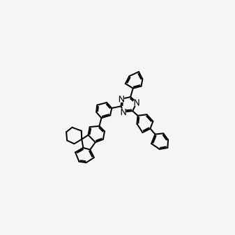 c1ccc(-c2ccc(-c3nc(-c4ccccc4)nc(-c4cccc(-c5ccc6c(c5)C5(CCCCC5)c5ccccc5-6)c4)n3)cc2)cc1